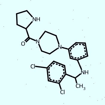 CC(Nc1cccc(N2CCN(C(=O)C3CCCN3)CC2)c1)c1ccc(Cl)cc1Cl